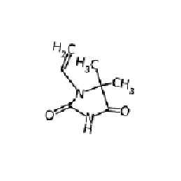 C=CN1C(=O)NC(=O)C1(C)C